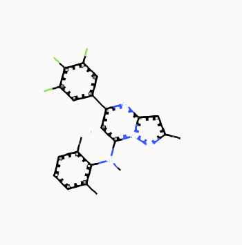 CCOC(=O)c1cc2nc(-c3cc(F)c(F)c(F)c3)cc(N(C)c3c(C)cccc3OC)n2n1